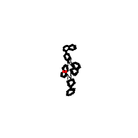 c1ccc(-c2ccc(N(c3ccccc3)c3ccc4cccc(N(c5ccccc5)c5ccc(-c6cccc7ccccc67)cc5)c4c3)cc2)cc1